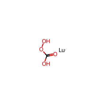 O=C(O)OO.[Lu]